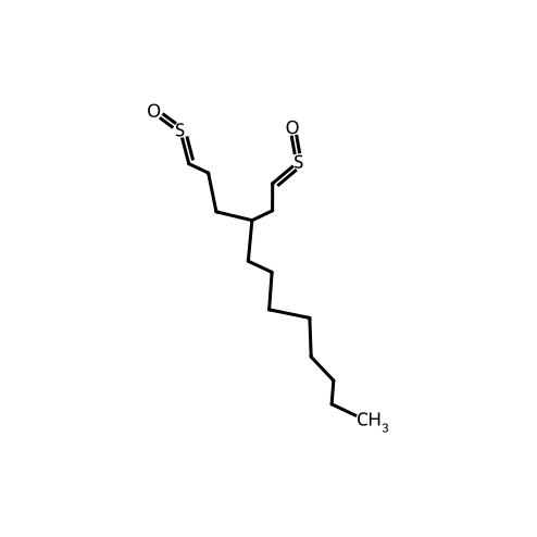 CCCCCCCCC(CC=S=O)CCC=S=O